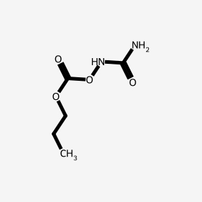 CCCOC(=O)ONC(N)=O